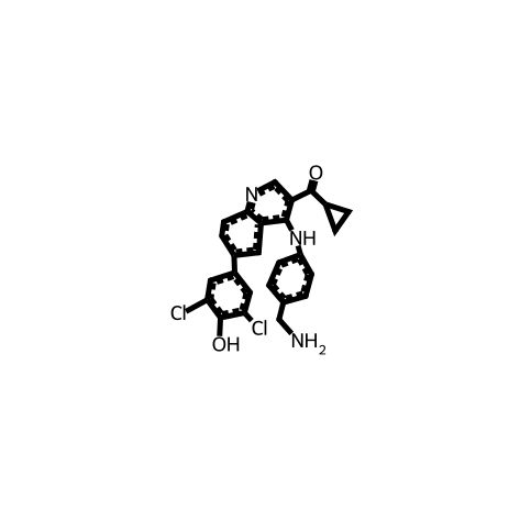 NCc1ccc(Nc2c(C(=O)C3CC3)cnc3ccc(-c4cc(Cl)c(O)c(Cl)c4)cc23)cc1